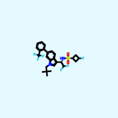 CC(C)(C)Cn1cc([C@H](NS(=O)(=O)C2CC(F)C2)C(F)F)c2ccc(-c3ccccc3C(F)(F)F)cc21